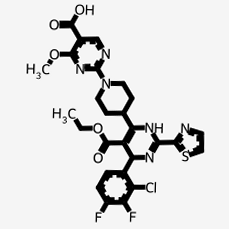 CCOC(=O)C1=C(C2CCN(c3ncc(C(=O)O)c(OC)n3)CC2)NC(c2nccs2)=NC1c1ccc(F)c(F)c1Cl